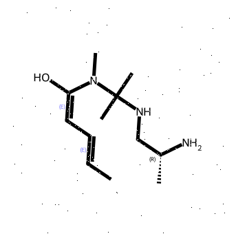 C/C=C/C=C(/O)N(C)C(C)(C)NC[C@@H](C)N